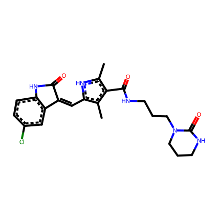 Cc1[nH]c(/C=C2\C(=O)Nc3ccc(Cl)cc32)c(C)c1C(=O)NCCCN1CCCNC1=O